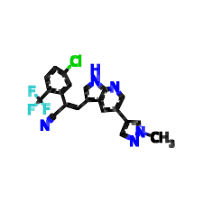 Cn1cc(-c2cnc3[nH]cc(/C=C(/C#N)c4cc(Cl)ccc4C(F)(F)F)c3c2)cn1